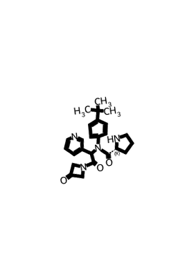 CC(C)(C)c1ccc(N(C(=O)[C@H]2CCCN2)C(C(=O)N2CC(=O)C2)c2cccnc2)cc1